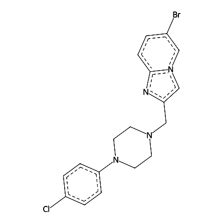 Clc1ccc(N2CCN(Cc3cn4cc(Br)ccc4n3)CC2)cc1